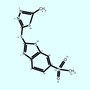 Cc1nnc(Sc2nc3ccc(S(C)(=O)=O)cc3s2)s1